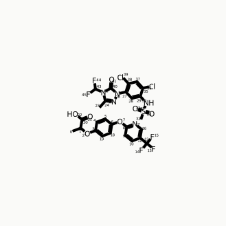 CC(Oc1ccc(Oc2ccc(C(F)(F)F)cn2)cc1)C(=O)O.Cc1nn(-c2cc(NS(C)(=O)=O)c(Cl)cc2Cl)c(=O)n1C(F)F